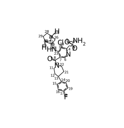 NS(=O)(=O)c1ncc(C(=O)N2CCC(c3ccc(F)cc3)CC2)c(N[C@H]2C[C@H]3CC[C@@H]2C3)c1Cl